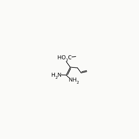 C=CCC(C)=C(N)N.CC(=O)O